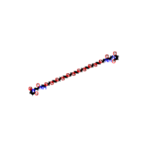 O=C(CCN1C(=O)C=CC1=O)NCCOCCOCCOCCOCCOCCOCCOCCOCCOCCOCCOCCNC(=O)CCN1C(=O)C=CC1=O